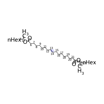 CCCCCCC(C)OC(=O)CCCCCCC/C=C/CCCCCCCC(=O)OC(C)CCCCCC